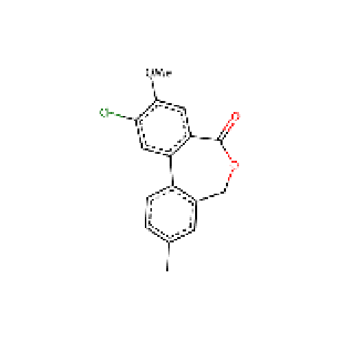 COc1cc2c(cc1Cl)-c1ccc(C)cc1COC2=O